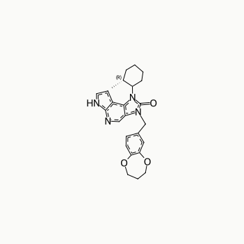 C[C@@H]1CCCCC1n1c(=O)n(Cc2ccc3c(c2)OCCCO3)c2cnc3[nH]ccc3c21